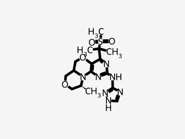 C[C@@H]1COCC2COc3c(nc(Nc4nc[nH]n4)nc3C(C)(C)S(C)(=O)=O)N21